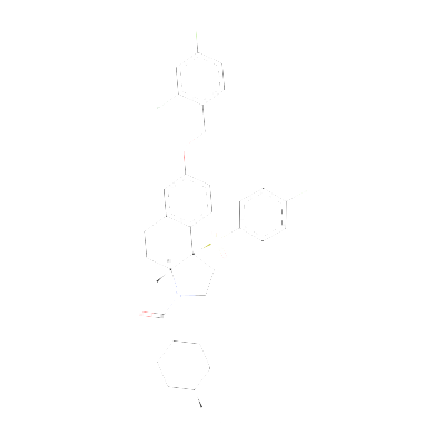 O=C(O)[C@H]1CC[C@H](C(=O)N2CC[C@@]3(S(=O)(=O)c4ccc(F)cc4)c4ccc(OCc5ccc(F)cc5Cl)cc4CC[C@@H]23)CC1